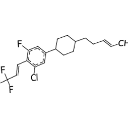 C/C=C/CCC1CCC(c2cc(F)c(/C=C/C(F)(F)F)c(Cl)c2)CC1